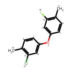 Cc1ccc(Oc2ccc(C)c(Cl)c2)cc1F